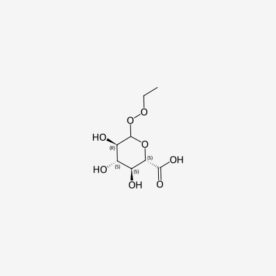 CCOOC1O[C@H](C(=O)O)[C@@H](O)[C@H](O)[C@H]1O